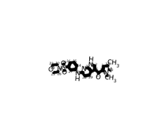 Cc1cc(C(=O)c2c[nH]c3nc(Nc4cccc(S(=O)(=O)N5CCOCC5)c4)ccc23)n(C)n1